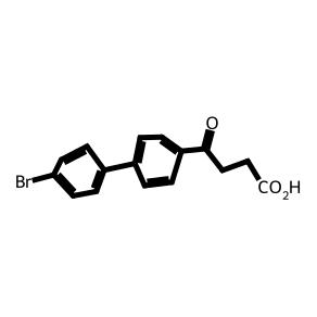 O=C(O)CCC(=O)c1ccc(-c2ccc(Br)cc2)cc1